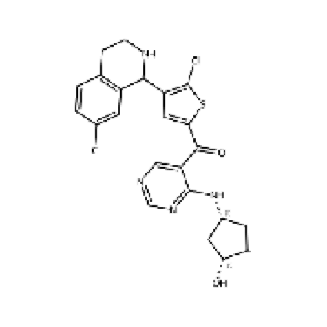 O=C(c1cc(C2NCCc3ccc(Cl)cc32)c(Cl)s1)c1cncnc1N[C@@H]1C[CH][C@H](O)C1